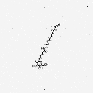 CC1C(OCCCCC(=O)NCCOCCOCCOCCN=[N+]=[N-])OC(CO)C(O)C1O